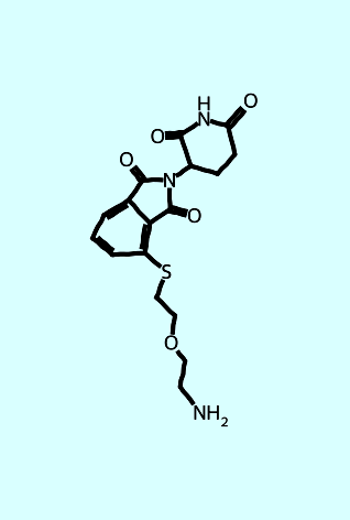 NCCOCCSc1cccc2c1C(=O)N(C1CCC(=O)NC1=O)C2=O